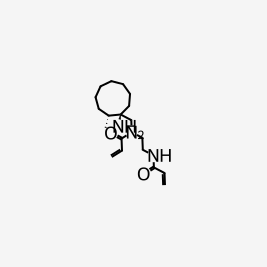 C=CC(=O)NCCN(C[C@@]1(N)CCCCCCC[C@H]1C)C(=O)C=C